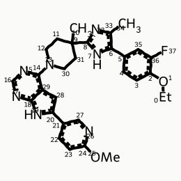 CCOc1ccc(-c2[nH]c(C3(C)CCN(c4ncnc5[nH]c(-c6ccc(OC)nc6)cc45)CC3)nc2C)cc1F